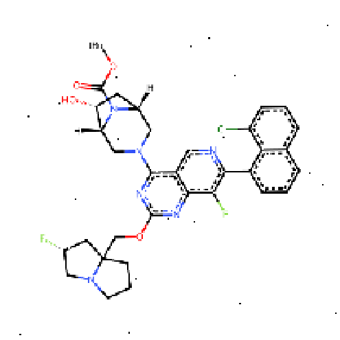 CC(C)(C)OC(=O)N1[C@@H]2C[C@@H](O)[C@H]1CN(c1nc(OCC34CCCN3C[C@H](F)C4)nc3c(F)c(-c4cccc5cccc(Cl)c45)ncc13)C2